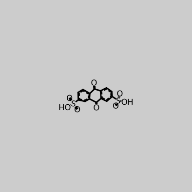 O=C1c2ccc(S(=O)(=O)O)cc2C(=O)c2cc(S(=O)(=O)O)ccc21